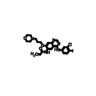 C=CC(=O)Nc1cc2c(Nc3ccc(I)c(Cl)c3)ncnc2cc1OCCCN1CCOCC1